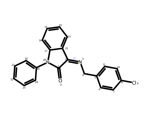 O=C1/C(=N\Cc2ccc(Cl)cc2)c2ccccc2N1c1ccccc1